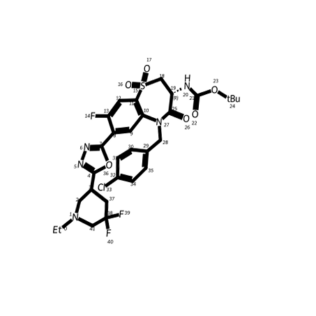 CCN1CC(c2nnc(-c3cc4c(cc3F)S(=O)(=O)C[C@H](NC(=O)OC(C)(C)C)C(=O)N4Cc3ccc(Cl)cc3)o2)CC(F)(F)C1